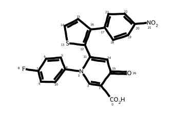 O=C(O)c1cn(-c2ccc(F)cc2)c(-c2sccc2-c2ccc([N+](=O)[O-])cc2)cc1=O